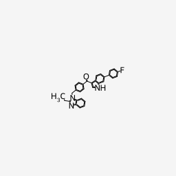 CCc1nc2ccccc2n1Cc1ccc(C(=O)c2c[nH]c3cc(-c4ccc(F)cc4)ccc23)cc1